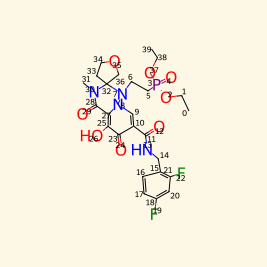 CCOP(=O)(CCN1n2cc(C(=O)NCc3ccc(F)cc3F)c(=O)c(O)c2C(=O)N(C)C12CCOC2)OCC